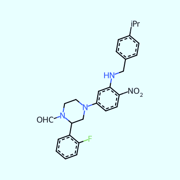 CC(C)c1ccc(CNc2cc(N3CCN(C=O)C(c4ccccc4F)C3)ccc2[N+](=O)[O-])cc1